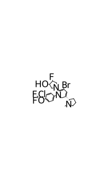 CN1CCC[C@H]1C1=CC(Br)=C(N2CC(O)C(F)C2)N(c2ccc(OC(F)(F)Cl)cc2)C1